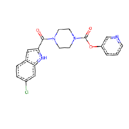 O=C(Oc1cccnc1)N1CCN(C(=O)c2cc3ccc(Cl)cc3[nH]2)CC1